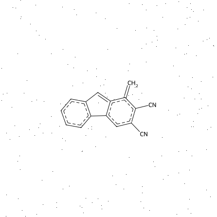 C=c1c(C#N)c(C#N)cc2c1=Cc1ccccc1-2